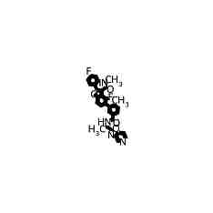 CNC(=O)c1c(-c2ccc(F)cc2)oc2ccc(-c3cc(C(=O)NC(C)c4nc5cnccc5o4)ccc3C)c(F)c12